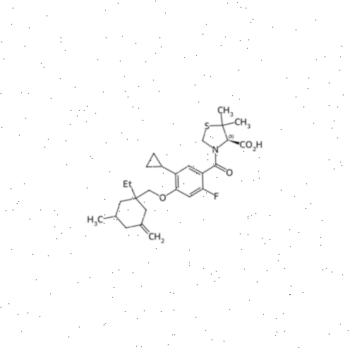 C=C1CC(C)CC(CC)(COc2cc(F)c(C(=O)N3CSC(C)(C)[C@H]3C(=O)O)cc2C2CC2)C1